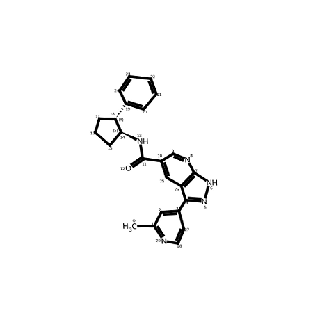 Cc1cc(-c2n[nH]c3ncc(C(=O)N[C@H]4CCC[C@@H]4c4ccccc4)cc23)ccn1